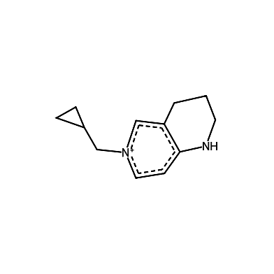 c1c[n+](CC2CC2)cc2c1NCCC2